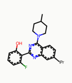 CC1CCN(c2nc(-c3c(O)cccc3F)nc3cc(C(C)C)ccc23)CC1